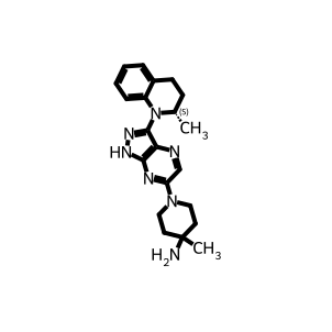 C[C@H]1CCc2ccccc2N1c1n[nH]c2nc(N3CCC(C)(N)CC3)cnc12